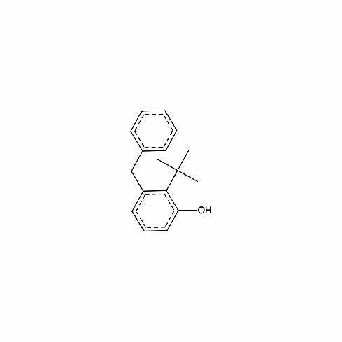 CC(C)(C)c1c(O)cccc1Cc1ccccc1